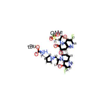 CC(C)(C)OC(=O)NC[C@H]1CCN(C[C@@H]2COc3c(F)cnc4ccc(=O)n2c34)C1.COS(=O)(=O)C[C@@H]1COc2c(F)cnc3ccc(=O)n1c23